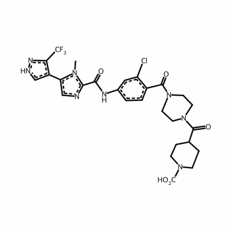 Cn1c(-c2c[nH]nc2C(F)(F)F)cnc1C(=O)Nc1ccc(C(=O)N2CCN(C(=O)C3CCN(C(=O)O)CC3)CC2)c(Cl)c1